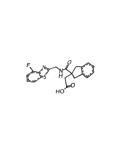 O=C(O)CC1(C(=O)NCc2nc3c(F)cccc3s2)Cc2ccccc2C1